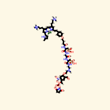 Cc1ccc(-c2cc(CCC[N+](C)(C)C)c3n2[B-](F)(F)[N+]2=C(/C=C/c4ccc(OCCCC(=O)NC(CS(=O)(=O)O)C(=O)NCC(=O)NC(CS(=O)(=O)O)C(=O)NCCN(C)CCOc5cc([N+](=O)[O-])c(C(C)OC(=O)ON6C(=O)CCC6=O)cc5C=O)cc4)C=C(CCC[N+](C)(C)C)C2=C3)[nH]1